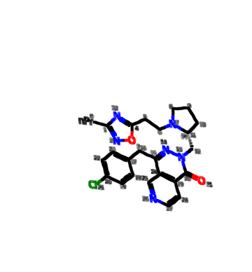 CCCc1noc(CCN2CCC[C@@H]2Cn2nc(Cc3ccc(Cl)cc3)c3cnccc3c2=O)n1